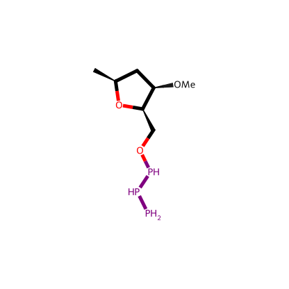 CO[C@@H]1C[C@H](C)O[C@@H]1COPPP